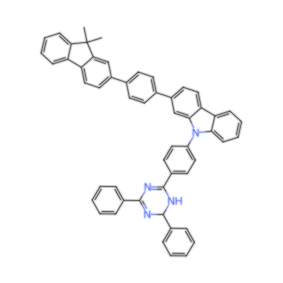 CC1(C)c2ccccc2-c2ccc(-c3ccc(-c4ccc5c6ccccc6n(-c6ccc(C7=NC(c8ccccc8)=NC(c8ccccc8)N7)cc6)c5c4)cc3)cc21